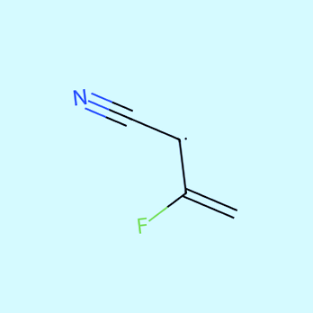 C=C(F)[CH]C#N